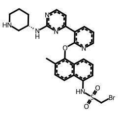 Cc1ccc2c(NS(=O)(=O)CBr)cccc2c1Oc1ncccc1-c1ccnc(N[C@H]2CCCNC2)n1